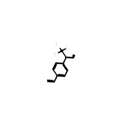 C=Cc1ccc(C(C=O)C(F)(F)F)cc1